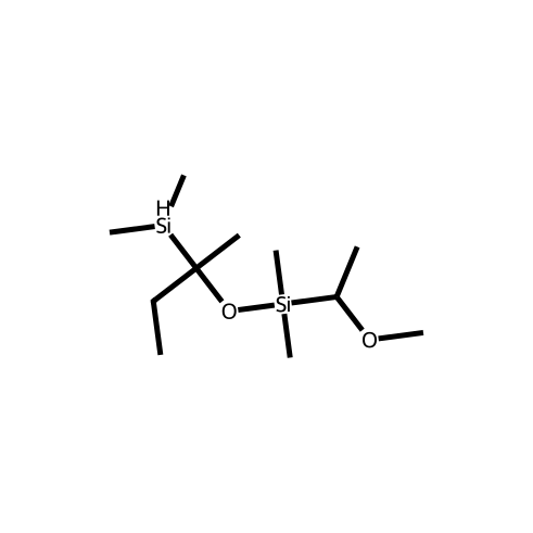 CCC(C)(O[Si](C)(C)C(C)OC)[SiH](C)C